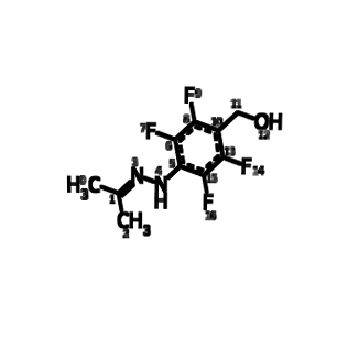 CC(C)=NNc1c(F)c(F)c(CO)c(F)c1F